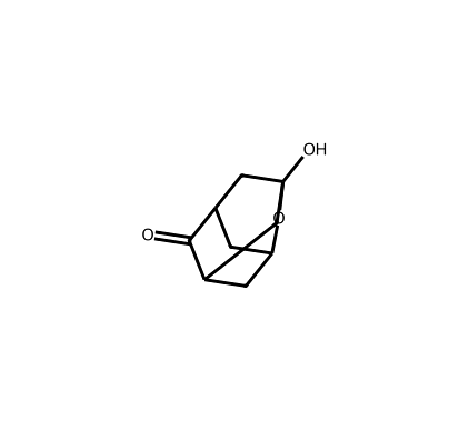 O=C1C2CC3CC1CC(O)(C2)O3